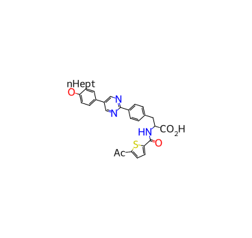 CCCCCCCOc1ccc(-c2cnc(-c3ccc(CC(NC(=O)c4ccc(C(C)=O)s4)C(=O)O)cc3)nc2)cc1